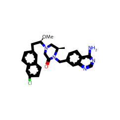 CO[C@@H](Cc1ccc2cc(Cl)ccc2c1)N1CC(=O)N(Cc2ccc3c(N)ncnc3c2)[C@H](C)C1